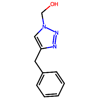 OCn1cc(Cc2ccccc2)nn1